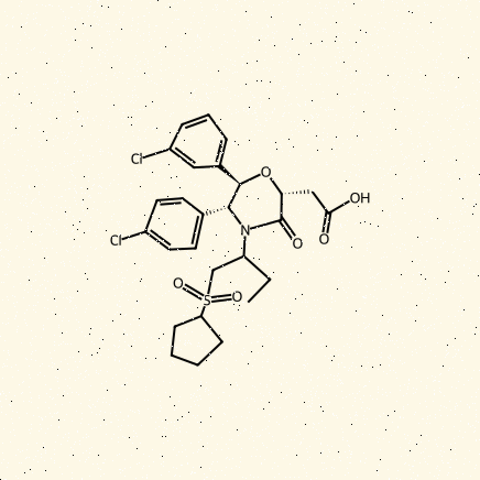 CCC(CS(=O)(=O)C1CCCC1)N1C(=O)[C@@H](CC(=O)O)O[C@H](c2cccc(Cl)c2)[C@H]1c1ccc(Cl)cc1